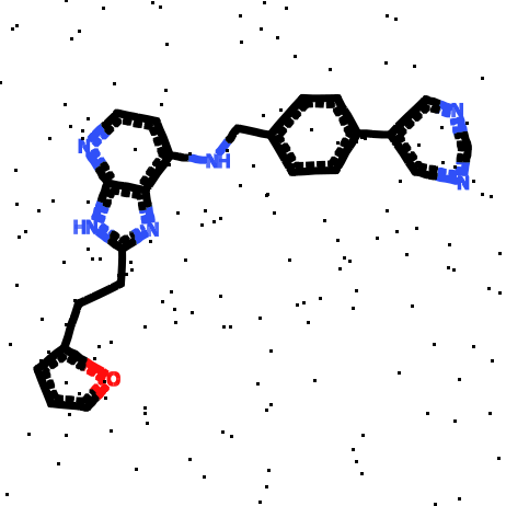 c1coc(CCc2nc3c(NCc4ccc(-c5cncnc5)cc4)ccnc3[nH]2)c1